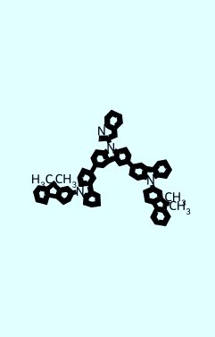 CC1(C)c2ccccc2-c2ccc(-n3c4ccccc4c4cc(-c5ccc6c(c5)c5cc(-c7ccc8c(c7)c7ccccc7n8-c7ccc8c(c7)C(C)(C)c7ccccc7-8)ccc5n6-c5cnc6ccccc6c5)ccc43)cc21